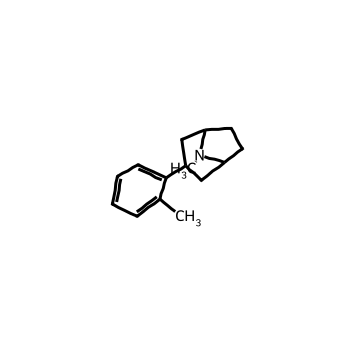 Cc1ccccc1C1CC2CCC(C1)N2C